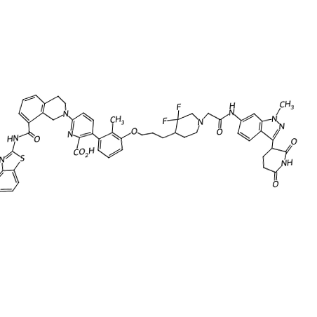 Cc1c(OCCCC2CCN(CC(=O)Nc3ccc4c(C5CCC(=O)NC5=O)nn(C)c4c3)CC2(F)F)cccc1-c1ccc(N2CCc3cccc(C(=O)Nc4nc5ccccc5s4)c3C2)nc1C(=O)O